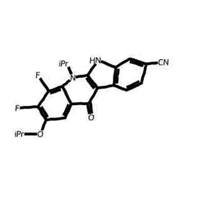 CC(C)Oc1cc2c(=O)c3c4ccc(C#N)cc4[nH]c3n(C(C)C)c2c(F)c1F